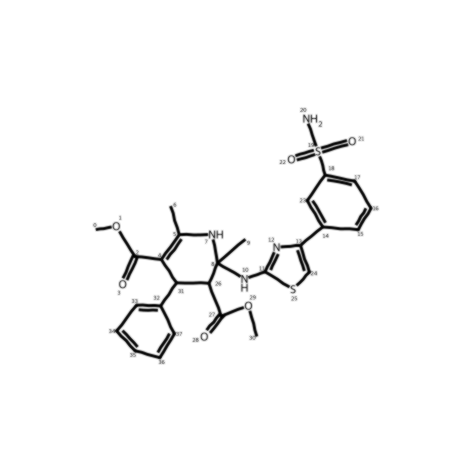 COC(=O)C1=C(C)NC(C)(Nc2nc(-c3cccc(S(N)(=O)=O)c3)cs2)C(C(=O)OC)C1c1ccccc1